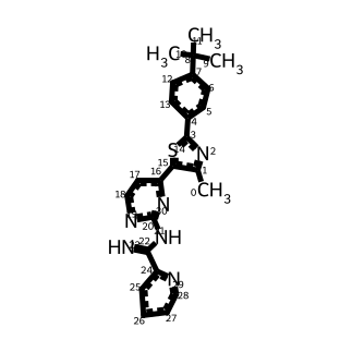 Cc1nc(-c2ccc(C(C)(C)C)cc2)sc1-c1ccnc(NC(=N)c2ccccn2)n1